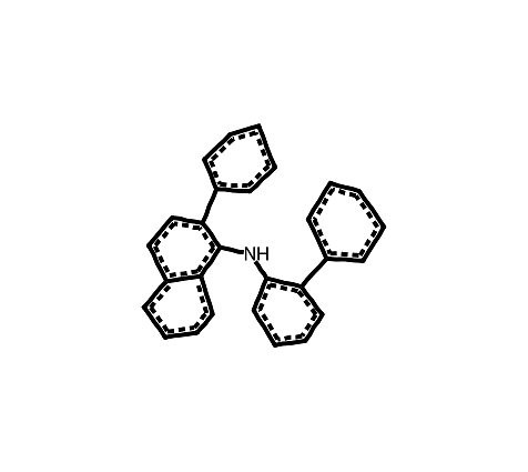 c1ccc(-c2ccccc2Nc2c(-c3ccccc3)ccc3ccccc23)cc1